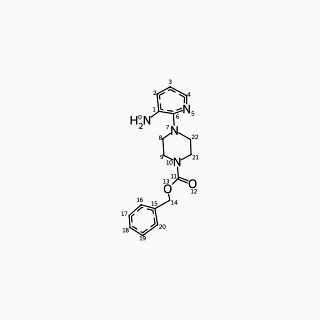 Nc1cccnc1N1CCN(C(=O)OCc2ccccc2)CC1